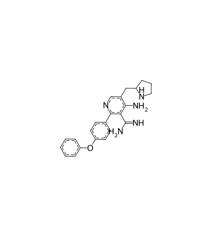 N=C(N)c1c(-c2ccc(Oc3ccccc3)cc2)ncc(CC2CCCN2)c1N